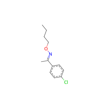 CCCCO/N=C(\C)c1ccc(Cl)cc1